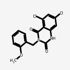 COc1ccccc1Cn1c(=O)[nH]c2cc(Cl)cc(Cl)c2c1=O